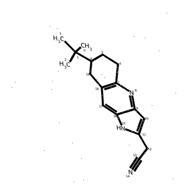 CC(C)(C)C1CCc2nc3cc(CC#N)[nH]c3cc2C1